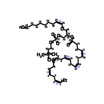 CC/C=C\C/C=C\C/C=C\C/C=C\C/C=C\C/C=C\CCC(=O)O[C@H](CO/C=C\CCCCCCCCCCCCCCCC)COP(=O)([O-])OCC[N+](C)(C)C